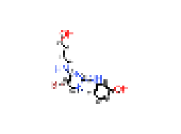 OCCCCNc1nc(Nc2cccc(O)c2)ncc1Br